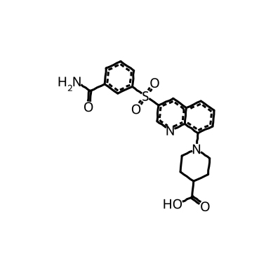 NC(=O)c1cccc(S(=O)(=O)c2cnc3c(N4CCC(C(=O)O)CC4)cccc3c2)c1